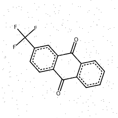 O=C1c2ccccc2C(=O)c2cc(C(F)(F)F)ccc21